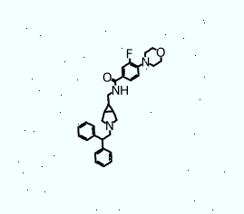 O=C(NCC1C2CN(CC(c3ccccc3)c3ccccc3)CC12)c1ccc(N2CCOCC2)c(F)c1